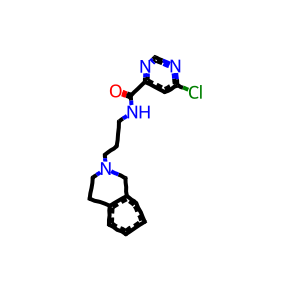 O=C(NCCCN1CCc2ccccc2C1)c1cc(Cl)ncn1